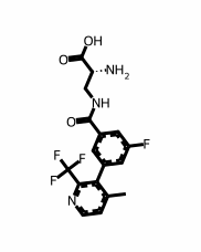 Cc1ccnc(C(F)(F)F)c1-c1cc(F)cc(C(=O)NC[C@@H](N)C(=O)O)c1